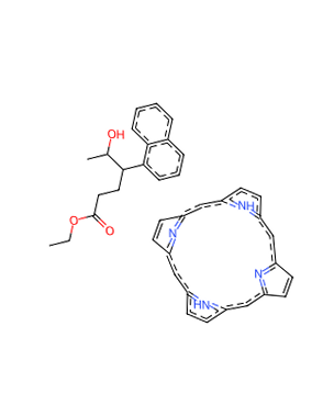 C1=Cc2cc3ccc(cc4nc(cc5ccc(cc1n2)[nH]5)C=C4)[nH]3.CCOC(=O)CCC(c1cccc2ccccc12)C(C)O